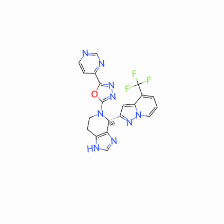 FC(F)(F)c1cccn2nc([C@@H]3c4nc[nH]c4CCN3c3nnc(-c4ccncn4)o3)cc12